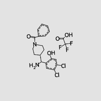 NC(c1cc(Cl)c(Cl)cc1O)C1CCN(C(=O)c2ccccc2)CC1.O=C(O)C(F)(F)F